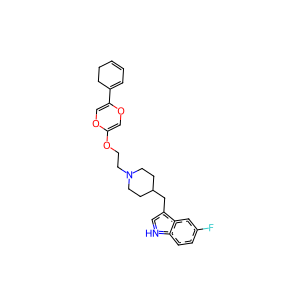 Fc1ccc2[nH]cc(CC3CCN(CCOC4=COC(C5=CC=CCC5)=CO4)CC3)c2c1